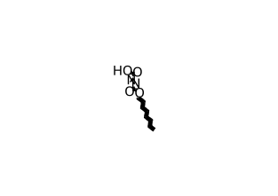 CCCCCCCCOC(=O)N=NC(=O)O